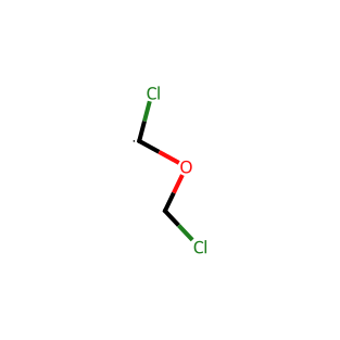 Cl[CH]OCCl